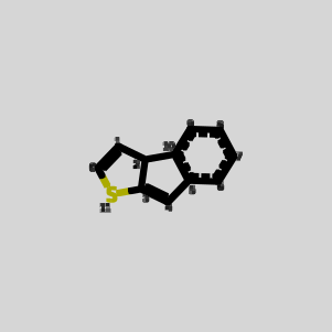 C1=CC2C(=Cc3ccccc32)S1